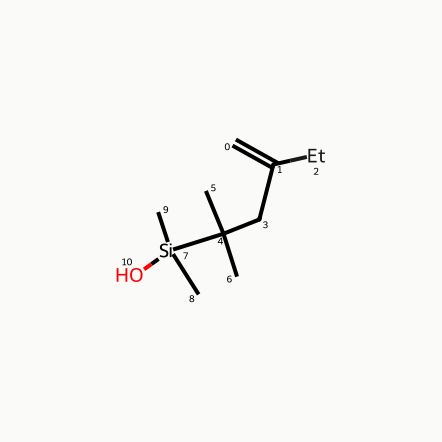 C=C(CC)CC(C)(C)[Si](C)(C)O